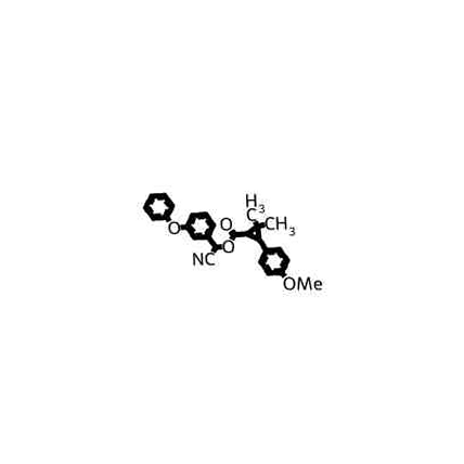 COc1ccc(C2C(C(=O)OC(C#N)c3cccc(Oc4ccccc4)c3)C2(C)C)cc1